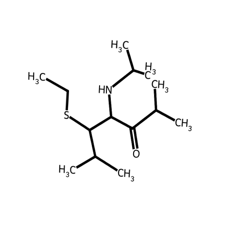 CCSC(C(C)C)C(NC(C)C)C(=O)C(C)C